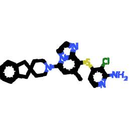 Cc1cc(N2CCC3(CC2)Cc2ccccc2C3)n2ccnc2c1Sc1ccnc(N)c1Cl